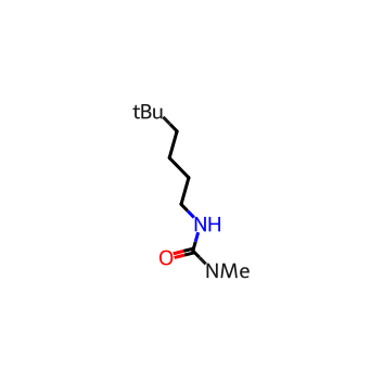 CNC(=O)NCCCCC(C)(C)C